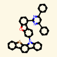 c1ccc(-c2cc(-c3ccccc3)nc(-c3cccc4oc5cc(-n6c7ccccc7c7ccc8c9ccccc9sc8c76)ccc5c34)n2)cc1